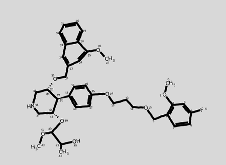 COc1cc(F)ccc1COCCCOc1ccc([C@@H]2[C@@H](OCc3cc(OC)c4ccccc4c3)CNC[C@H]2OC(OC)C(C)O)cc1